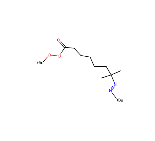 CC(C)(C)N=NC(C)(C)CCCCCC(=O)OOC(C)(C)C